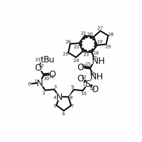 CN(CCN1CCC[C@@H]1CCS(=O)(=O)NC(=O)Nc1c2c(cc3c1CCC3)CCC2)C(=O)OC(C)(C)C